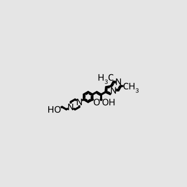 Cc1cn2cc(C3=Cc4ccc(N5CCN(CCO)CC5)cc4OC3O)cc2c(C)n1